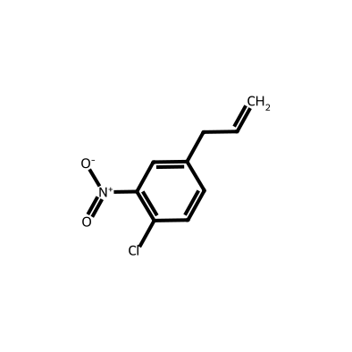 C=CCc1ccc(Cl)c([N+](=O)[O-])c1